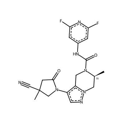 C[C@H]1Cn2ncc(N3CC(C)(C#N)CC3=O)c2CN1C(=O)Nc1cc(F)nc(F)c1